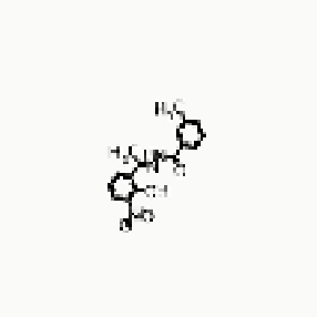 C/C(=N\NC(=O)c1cccc(C)c1)c1cccc([N+](=O)[O-])c1O